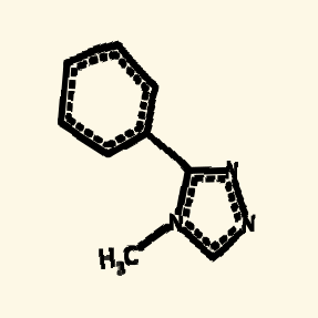 Cn1cnnc1-c1ccccc1